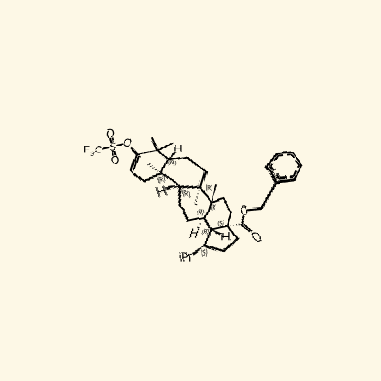 CC(C)[C@@H]1CC[C@]2(C(=O)OCc3ccccc3)CC[C@]3(C)[C@H](CC[C@@H]4[C@@]5(C)CC=C(OS(=O)(=O)C(F)(F)F)C(C)(C)[C@@H]5CC[C@]43C)[C@@H]12